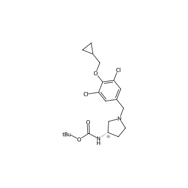 CC(C)(C)OC(=O)N[C@H]1CCN(Cc2cc(Cl)c(OCC3CC3)c(Cl)c2)C1